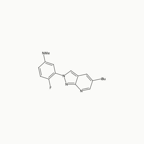 CCC(C)c1cnc2nn(-c3cc(NC)ccc3F)cc2c1